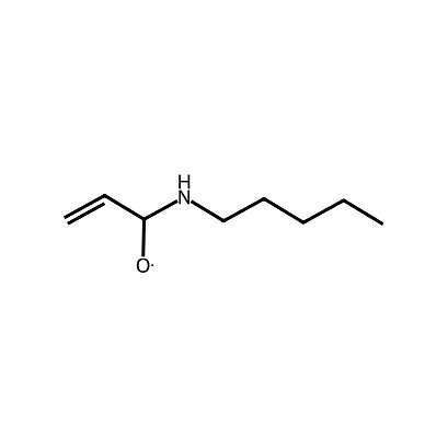 C=CC([O])NCCCCC